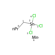 CCC[CH2][Sn]([Cl])([Cl])[Cl].[Mn]